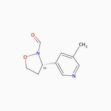 Cc1cncc([C@@H]2CCON2C=O)c1